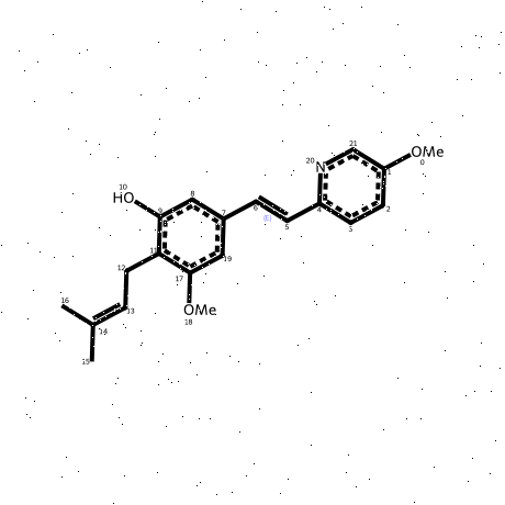 COc1ccc(/C=C/c2cc(O)c(CC=C(C)C)c(OC)c2)nc1